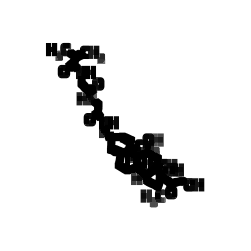 C=C(C)C(=O)NCC(=O)NCC(=O)N/N=C1\C=CC2(C)C(=C1)CC[C@H]1[C@@H]3C[C@@H](C)[C@](O)(C(=O)CO)C3(C)C[C@H](O)[C@@]12F